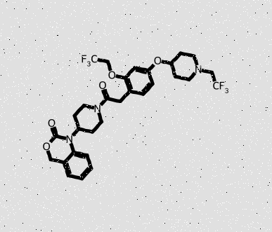 O=C(Cc1ccc(OC2CCN(CC(F)(F)F)CC2)cc1OCC(F)(F)F)N1CCC(N2C(=O)OCc3ccccc32)CC1